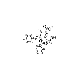 COC(=O)C1OC(OC(C)=N)C(OC(=O)c2ccccc2)C(OCc2ccccc2)C1C